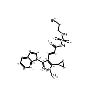 CC(C)CCNS(=O)(=O)NC(=O)/C=C/c1c(-n2ccc3cccnc32)nn(C)c1C1CC1